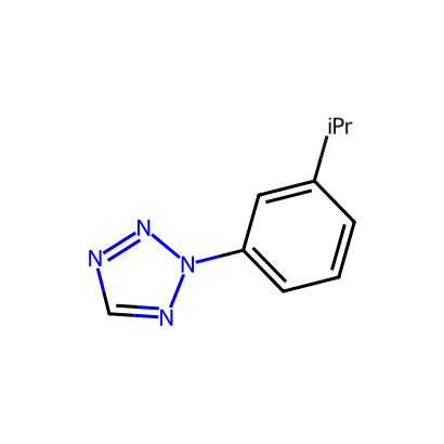 CC(C)c1cccc(-n2ncnn2)c1